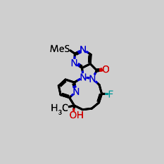 CSc1ncc2c(=O)n3n(c2n1)-c1cccc(n1)C(C)(O)CC/C=C(/F)C3